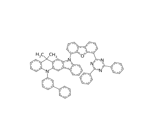 CC1(C)c2ccccc2N(c2cccc(-c3ccccc3)c2)c2cc3c4ccccc4n(-c4cccc5c4oc4c(-c6nc(-c7ccccc7)nc(-c7ccccc7)n6)cccc45)c3cc21